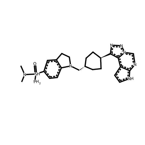 CN(C)[SH](=O)(P)c1ccc2c(c1)CCN2C[C@H]1CC[C@H](c2nnn3cnc4[nH]ccc4c23)CC1